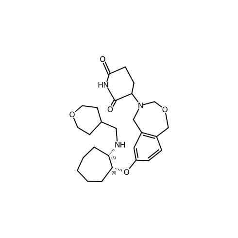 O=C1CCC(N2COCc3ccc(O[C@@H]4CCCCC[C@@H]4NCC4CCOCC4)cc3C2)C(=O)N1